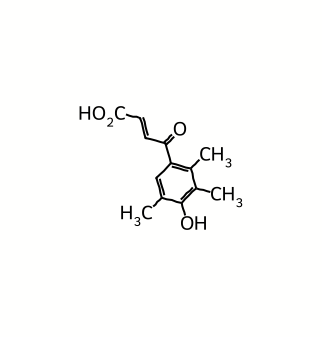 Cc1cc(C(=O)/C=C/C(=O)O)c(C)c(C)c1O